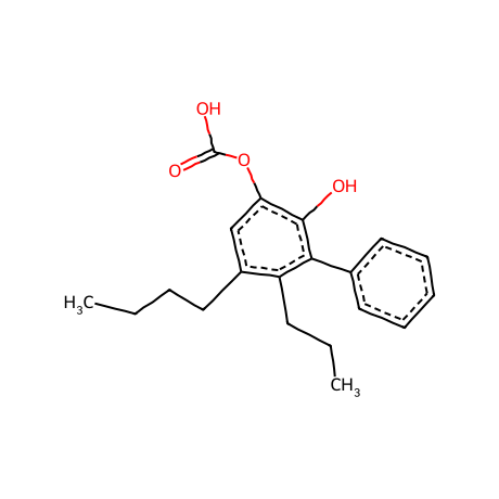 CCCCc1cc(OC(=O)O)c(O)c(-c2ccccc2)c1CCC